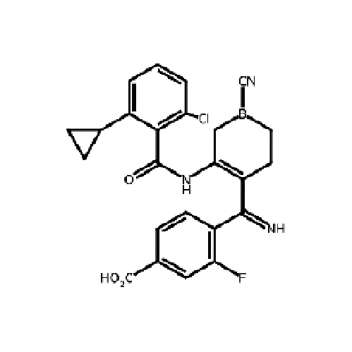 N#CB1CCC(C(=N)c2ccc(C(=O)O)cc2F)=C(NC(=O)c2c(Cl)cccc2C2CC2)C1